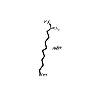 Br.CCCCCCCCCCCCCCCCCN(C)C.N